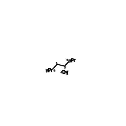 CCCCCCCC.[Dy]